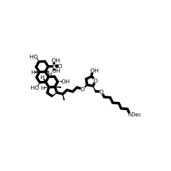 CCCCCCCCCCCCCCCCOC[C@@H]1OC(O)C[C@@H]1OCCC[C@@H](C)[C@H]1CC[C@H]2[C@@H]3[C@H](O)C[C@@H]4C[C@H](O)CC(P(=O)(O)O)[C@]4(C)[C@H]3C[C@H](O)[C@]12C